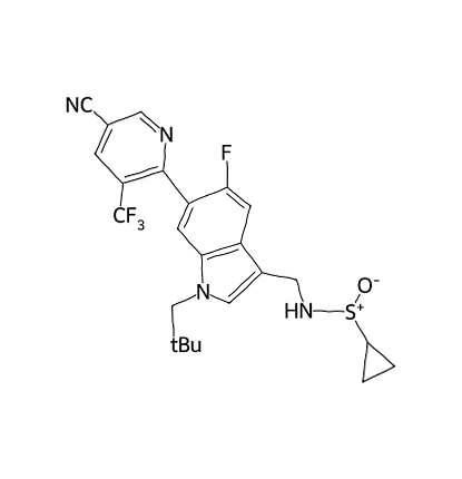 CC(C)(C)Cn1cc(CN[S+]([O-])C2CC2)c2cc(F)c(-c3ncc(C#N)cc3C(F)(F)F)cc21